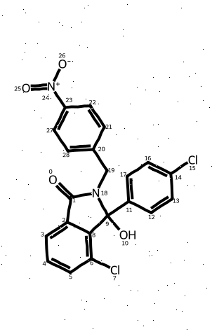 O=C1c2cccc(Cl)c2C(O)(c2ccc(Cl)cc2)N1Cc1ccc([N+](=O)[O-])cc1